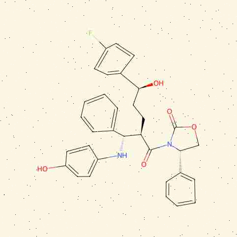 O=C1OC[C@H](c2ccccc2)N1C(=O)[C@H](CC[C@H](O)c1ccc(F)cc1)[C@H](Nc1ccc(O)cc1)c1ccccc1